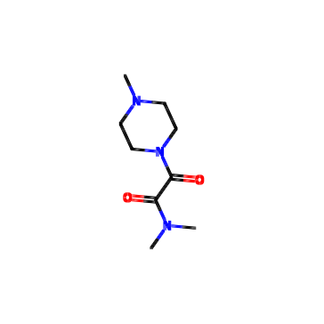 CN1CCN(C(=O)C(=O)N(C)C)CC1